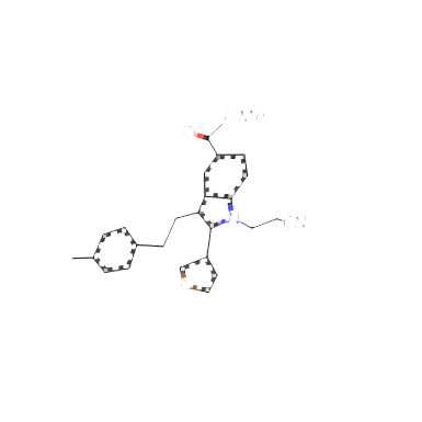 COC(=O)c1ccc2c(c1)c(CCc1ccc(C)cc1)c(-c1ccsc1)n2CCC#N